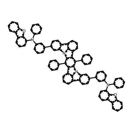 c1ccc(-c2c3c4cccc5c6ccc(-c7cccc(N(c8ccccc8)c8cccc9c8oc8ccccc89)c7)cc6n(c3c(-c3ccccc3)c3c6cccc7c8ccc(-c9cccc(N(c%10ccccc%10)c%10cccc%11c%10oc%10ccccc%10%11)c9)cc8n(c23)c76)c54)cc1